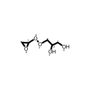 OCC(O)COOC1CO1